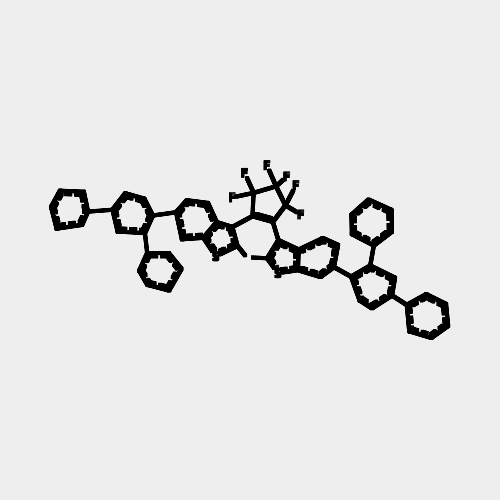 Cc1sc2cc(-c3ccc(-c4ccccc4)cc3-c3ccccc3)ccc2c1C1=C(c2c(C)sc3cc(-c4ccc(-c5ccccc5)cc4-c4ccccc4)ccc23)C(F)(F)C(F)(F)C1(F)F